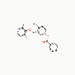 Cc1cccc(C)c1OCc1cc(OC(=O)c2ccccc2)ccc1Br